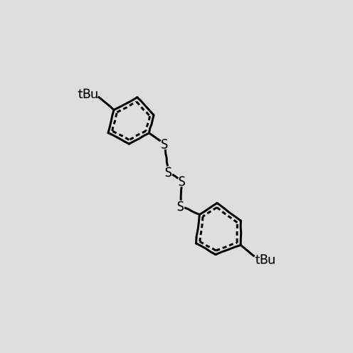 CC(C)(C)c1ccc(SSSSc2ccc(C(C)(C)C)cc2)cc1